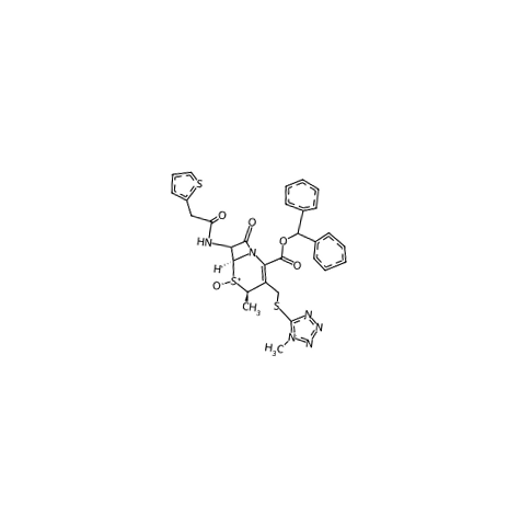 C[C@@H]1C(CSc2nnnn2C)=C(C(=O)OC(c2ccccc2)c2ccccc2)N2C(=O)C(NC(=O)Cc3cccs3)[C@@H]2[S+]1[O-]